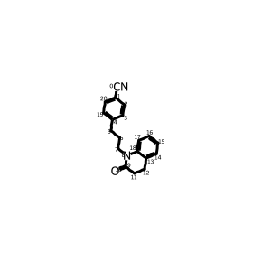 N#Cc1ccc(CCCN2C(=O)CCc3ccccc32)cc1